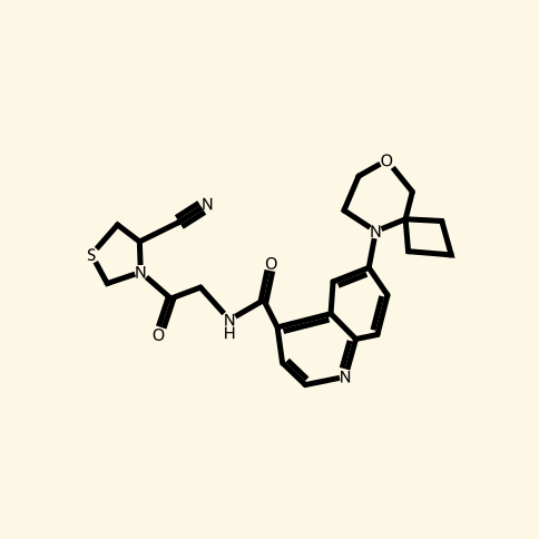 N#CC1CSCN1C(=O)CNC(=O)c1ccnc2ccc(N3CCOCC34CCC4)cc12